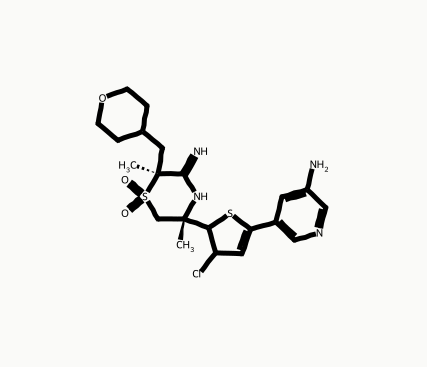 C[C@]1(CC2CCOCC2)C(=N)N[C@](C)(C2SC(c3cncc(N)c3)=CC2Cl)CS1(=O)=O